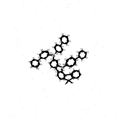 CC1(C)c2ccccc2-c2c1ccc1c3ccc(N(c4ccc(-c5ccccc5)cc4)c4cccc(-c5ccccc5)c4)cc3n(-c3ccc(-c4ccccc4)cc3)c21